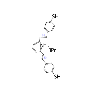 CC(C)C[n+]1c(/C=C/c2ccc(S)cc2)cccc1/C=C/c1ccc(S)cc1